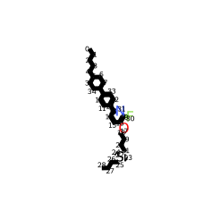 CCCCCC1CCC(c2ccc(-c3ccc(OCCCC[Si](C)(C)CCCC)c(F)n3)cc2)CC1